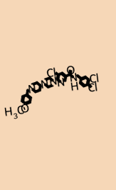 COc1ccc(CN2CCC(N3CCN(c4ncc(C(=O)NCc5ccc(Cl)c(Cl)c5)cc4Cl)CC3)CC2)cc1